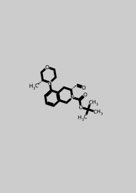 C[C@@H]1COCCN1c1cccc2c1C[C@H](C=O)N(C(=O)OC(C)(C)C)C2